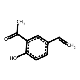 C=Cc1ccc(O)c(C(C)=O)c1